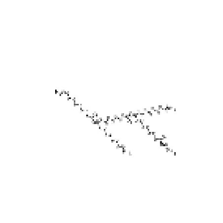 C=CCCCCCCCC(=O)OC(CCCCCCCCC)CCCCCCCC(=O)OC(CCCCCCCCC)CCCCCCCC(=O)OCC